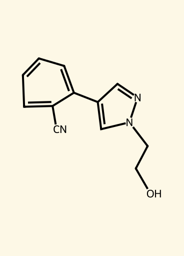 N#Cc1ccccc1-c1cnn(CCO)c1